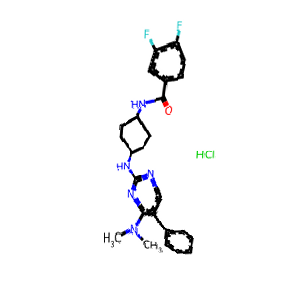 CN(C)c1nc(NC2CCC(NC(=O)c3ccc(F)c(F)c3)CC2)ncc1-c1ccccc1.Cl